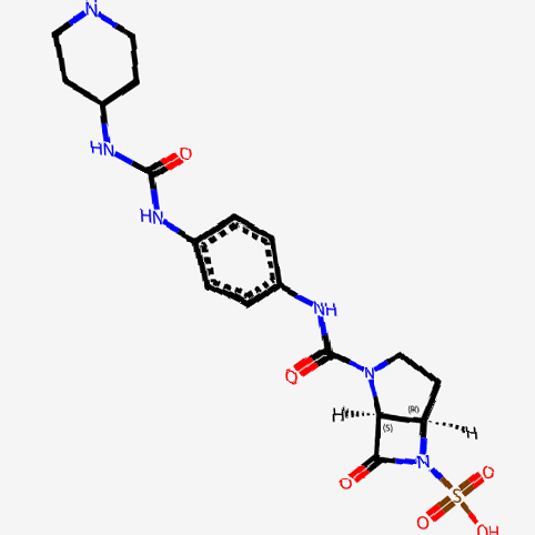 O=C(Nc1ccc(NC(=O)N2CC[C@@H]3[C@H]2C(=O)N3S(=O)(=O)O)cc1)NC1CCNCC1